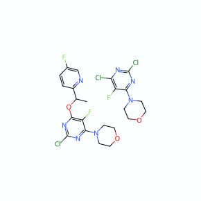 CC(Oc1nc(Cl)nc(N2CCOCC2)c1F)c1ccc(F)cn1.Fc1c(Cl)nc(Cl)nc1N1CCOCC1